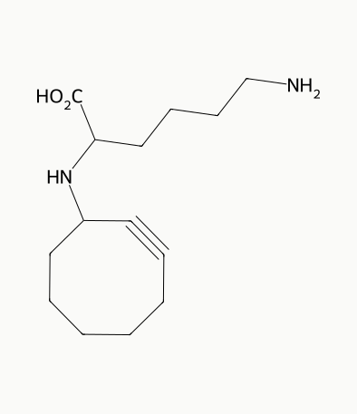 NCCCCC(NC1C#CCCCCC1)C(=O)O